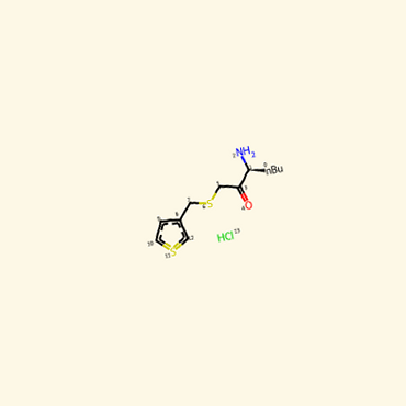 CCCC[C@H](N)C(=O)CSCc1ccsc1.Cl